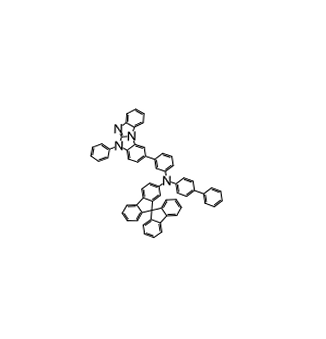 c1ccc(-c2ccc(N(c3cccc(-c4ccc5c(c4)n4c6ccccc6nc4n5-c4ccccc4)c3)c3ccc4c(c3)C3(c5ccccc5-c5ccccc53)c3ccccc3-4)cc2)cc1